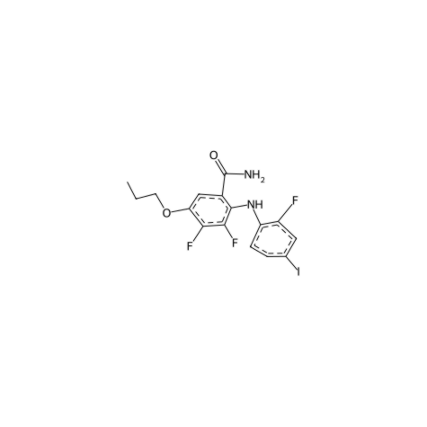 CCCOc1cc(C(N)=O)c(Nc2ccc(I)cc2F)c(F)c1F